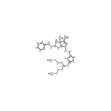 CCCCN(CCCC)Cc1ccc(CCCN2CC(COc3ccccc3)OC2(C)C(=O)O)s1